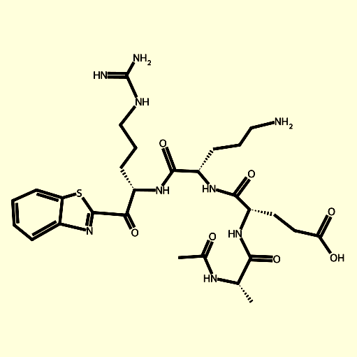 CC(=O)N[C@@H](C)C(=O)N[C@@H](CCC(=O)O)C(=O)N[C@@H](CCCN)C(=O)N[C@@H](CCCNC(=N)N)C(=O)c1nc2ccccc2s1